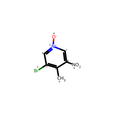 Cc1c(Br)c[n+]([O-])cc1[N+](=O)[O-]